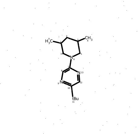 CC1CC(C)CN(c2cnc(C(C)(C)C)cn2)C1